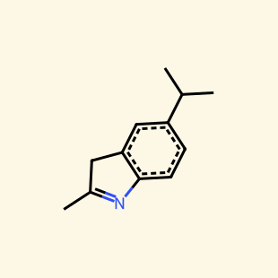 CC1=Nc2ccc(C(C)C)cc2C1